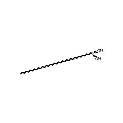 CCCCCCCCCCCCCCCCCCCCCCCCCCCCCCCCCCCCN(CCO)CCO